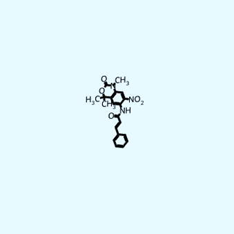 CN1C(=O)OC(C)(C)c2cc(NC(=O)/C=C/c3ccccc3)c([N+](=O)[O-])cc21